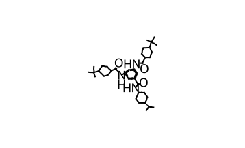 CC(C)[C@H]1CC[C@@H](NC(=O)c2cc(NC(=O)C3CCC(C(C)(C)C)CC3)cc(NC(=O)C3CCC(C(C)(C)C)CC3)c2)CC1